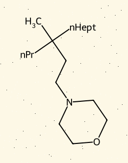 CCCCCCCC(C)(CCC)CCN1CCOCC1